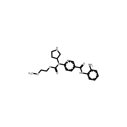 COCCOC(=O)N(c1ccc(C(=O)Nc2ccccc2N)cn1)C1CCNC1